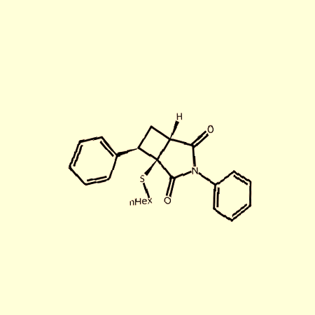 CCCCCCS[C@]12C(=O)N(c3ccccc3)C(=O)[C@H]1C[C@@H]2c1ccccc1